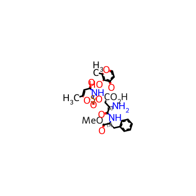 CC1=CC(=O)NS(=O)(=O)O1.COC(=O)[C@H](Cc1ccccc1)NC(=O)[C@@H](N)CC(=O)O.Cc1occc(=O)c1O